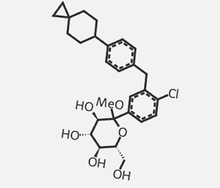 COC1(c2ccc(Cl)c(Cc3ccc(C4CCC5(CC4)CC5)cc3)c2)O[C@H](CO)[C@@H](O)[C@H](O)[C@H]1O